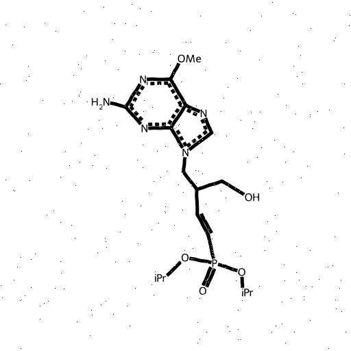 COc1nc(N)nc2c1ncn2CC(/C=C/P(=O)(OC(C)C)OC(C)C)CO